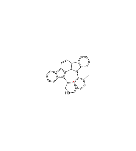 Cc1ccccc1N1c2ccccc2C2C=Cc3c(n(C4=CC=CBC4)c4ccccc34)C21